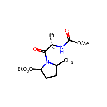 CCOC(=O)C1CCC(C)N1C(=O)[C@@H](NC(=O)OC)C(C)C